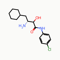 N[C@H](CC1CCCCC1)C(O)C(=O)Nc1ccc(Cl)cc1